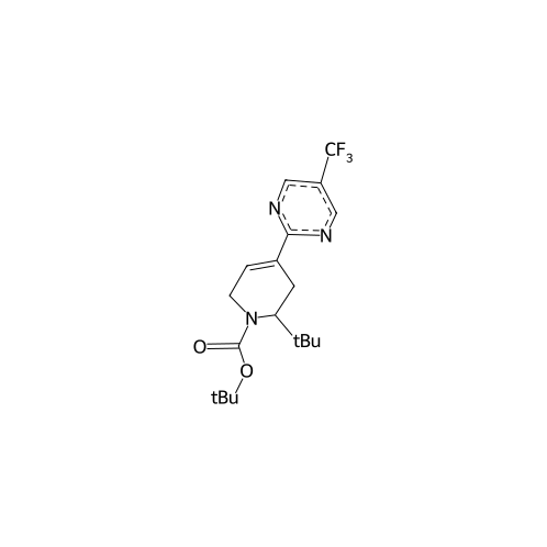 CC(C)(C)OC(=O)N1CC=C(c2ncc(C(F)(F)F)cn2)CC1C(C)(C)C